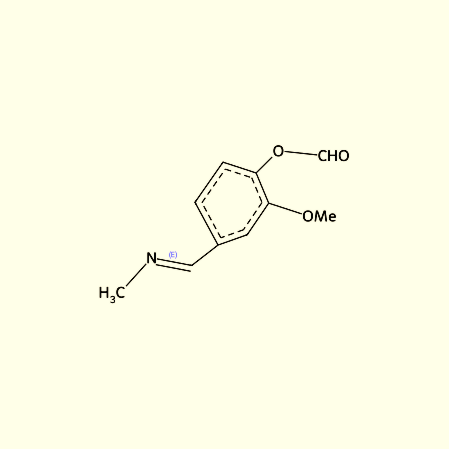 C/N=C/c1ccc(OC=O)c(OC)c1